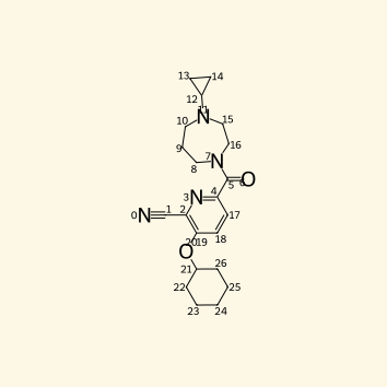 N#Cc1nc(C(=O)N2CCCN(C3CC3)CC2)ccc1OC1CCCCC1